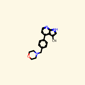 N#Cc1c[nH]c2nccc(-c3ccc(CN4CCOCC4)cc3)c12